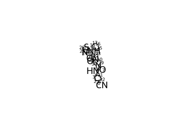 N#Cc1ccc(NC(=O)N2CCN(C(CC3CCCCC3)C(=O)Nc3nccs3)C(=O)C2)cc1